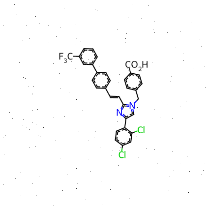 O=C(O)c1ccc(Cn2cc(-c3ccc(Cl)cc3Cl)nc2C=Cc2ccc(-c3cccc(C(F)(F)F)c3)cc2)cc1